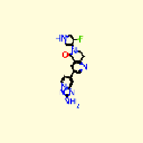 Nc1nc2cc(-c3cnc4c(c3)C(=O)N(C3CNCC3F)CC4)ccn2n1